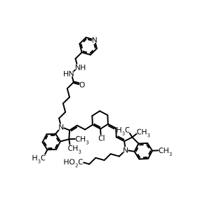 Cc1ccc2c(c1)C(C)(C)C(=CC=C1CCCC(CC=C3N(CCCCCC(=O)NNCc4ccncc4)c4ccc(C)cc4C3(C)C)=C1Cl)N2CCCCCC(=O)O